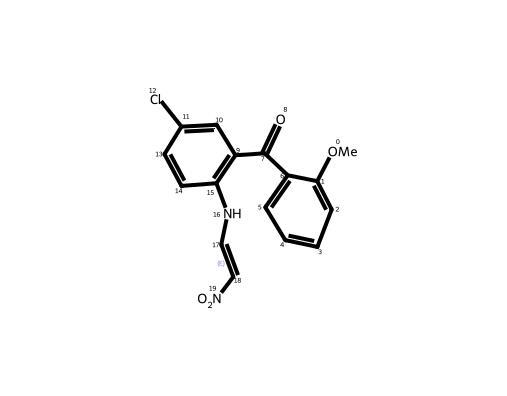 COc1ccccc1C(=O)c1cc(Cl)ccc1N/C=C/[N+](=O)[O-]